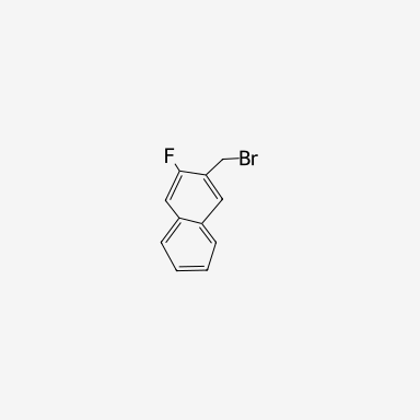 Fc1cc2ccccc2cc1CBr